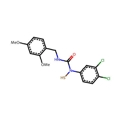 COc1ccc(CNC(=O)N(S)c2ccc(Cl)c(Cl)c2)c(OC)c1